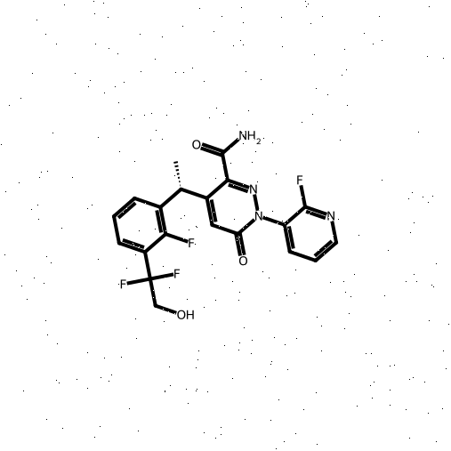 C[C@H](c1cc(=O)n(-c2cccnc2F)nc1C(N)=O)c1cccc(C(F)(F)CO)c1F